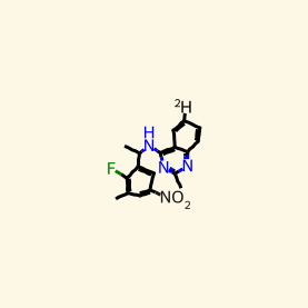 [2H]c1ccc2nc(C)nc(NC(C)c3cc([N+](=O)[O-])cc(C)c3F)c2c1